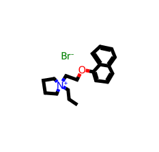 CCC[N+]1(CCOc2cccc3ccccc23)CCCC1.[Br-]